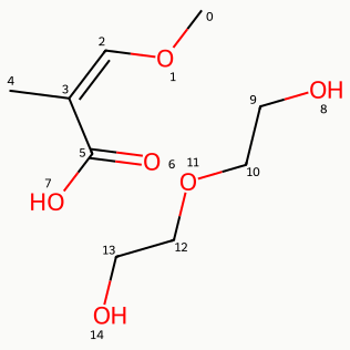 COC=C(C)C(=O)O.OCCOCCO